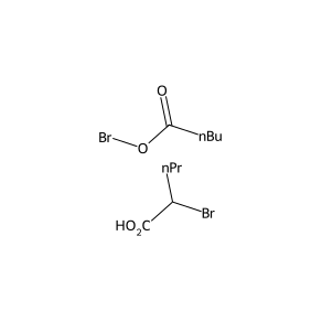 CCCC(Br)C(=O)O.CCCCC(=O)OBr